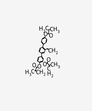 C=Cc1cc(-c2ccc(OC(=O)C(=C)C)c(OC(=O)C(=C)C)c2)ccc1-c1ccc(OC(=O)C(=C)C)cc1